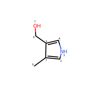 Cc1c[nH][c]c1CO